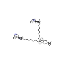 CCCCC/C=C\C/C=C\CCCCCCCCC1(CCCCCCCCC(C)C/C=C\CCCCC)OC2CC(N(C)C)CC2O1